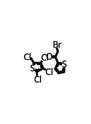 Clc1sc(Cl)c(Cl)c1Cl.O=C(CBr)c1cccs1